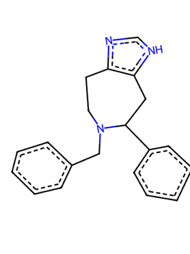 c1ccc(CN2CCc3nc[nH]c3CC2c2ccccc2)cc1